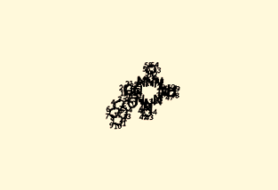 O=C(c1ccc2ccc3cccc4ccc1c2c34)c1cccc2c3nc4nc(nc5[nH]c(nc6nc(nc([nH]3)c12)-c1ccccc1-6)c1ccccc51)-c1ccccc1-4